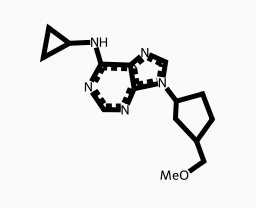 [CH2]OCC1CCC(n2cnc3c(NC4CC4)ncnc32)C1